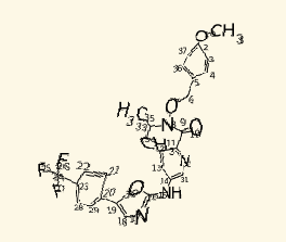 COc1ccc(CON(C(=O)c2ccc(Nc3ncc(-c4ccc(C(F)(F)F)cc4)o3)cn2)C(C)C)cc1